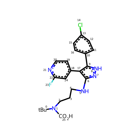 CC(C)(C)N(CCCNc1n[nH]c(-c2ccc(Cl)cc2)c1-c1ccnc(F)c1)C(=O)O